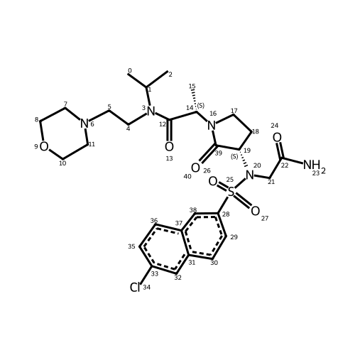 CC(C)N(CCN1CCOCC1)C(=O)[C@H](C)N1CC[C@H](N(CC(N)=O)S(=O)(=O)c2ccc3cc(Cl)ccc3c2)C1=O